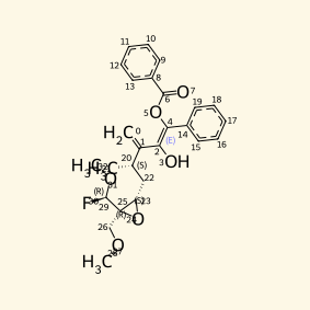 C=C(/C(O)=C(\OC(=O)c1ccccc1)c1ccccc1)[C@@H](C)C[C@@H]1O[C@@]1(COC)[C@@H](F)OC